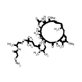 COc1cc2cc(c1Cl)N(C)C(=O)CC(OCC(C)N(C)C(=O)CCC(C)(C)SSCC(NC(=O)CON)C(=O)O)C1(C)OC1(C)C(C)C1CC(O)(NC(=O)O1)C(OC)/C=C/C=C(\C)C2